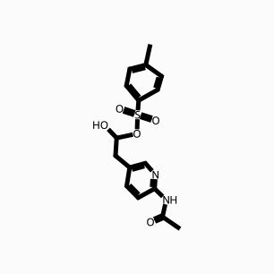 CC(=O)Nc1ccc(CC(O)OS(=O)(=O)c2ccc(C)cc2)cn1